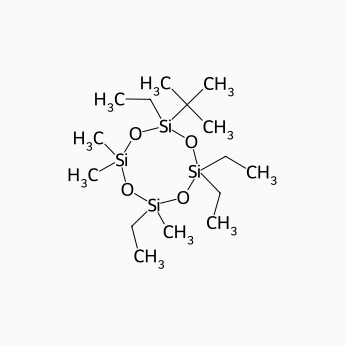 CC[Si]1(C)O[Si](C)(C)O[Si](CC)(C(C)(C)C)O[Si](CC)(CC)O1